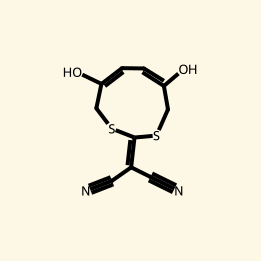 N#CC(C#N)=C1SC/C(O)=C\C=C(\O)CS1